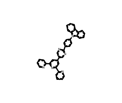 c1ccc(-c2cc(-c3cnc(-c4ccc(-n5c6ccccc6c6ccccc65)cc4)nc3)cc(-c3ccccn3)n2)nc1